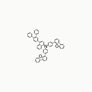 c1ccc(-c2ccc(-c3ccc(N(c4ccc(-c5cccc6c5oc5ccccc56)cc4)c4ccc(-c5cccc6c5oc5ccccc56)cc4)c4ccccc34)cc2-c2ccccc2)cc1